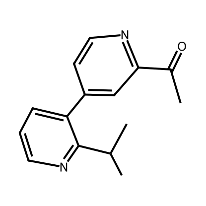 CC(=O)c1cc(-c2cccnc2C(C)C)ccn1